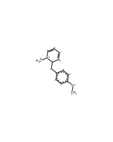 COc1ccc(CC2N=CC=CN2C)cc1